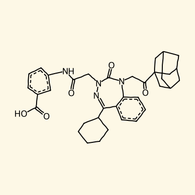 O=C(CN1N=C(C2CCCCC2)c2ccccc2N(CC(=O)C23CC4CC(CC(C4)C2)C3)C1=O)Nc1cccc(C(=O)O)c1